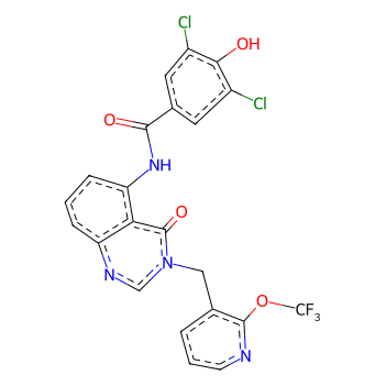 O=C(Nc1cccc2ncn(Cc3cccnc3OC(F)(F)F)c(=O)c12)c1cc(Cl)c(O)c(Cl)c1